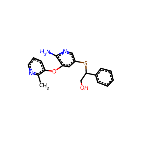 Cc1ncccc1Oc1cc(SC(CO)c2ccccc2)cnc1N